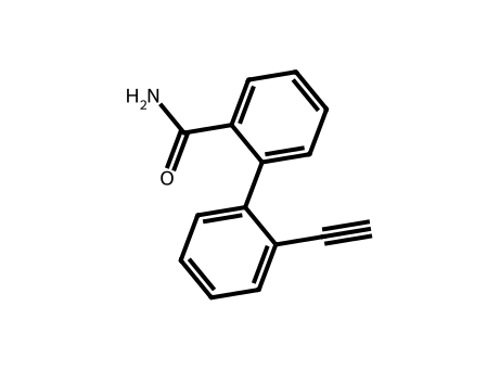 C#Cc1ccccc1-c1ccccc1C(N)=O